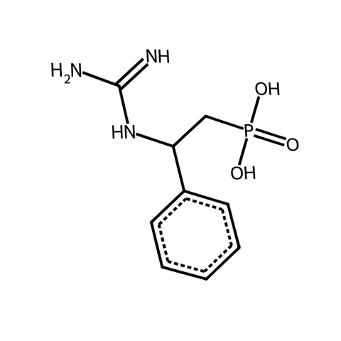 N=C(N)NC(CP(=O)(O)O)c1ccccc1